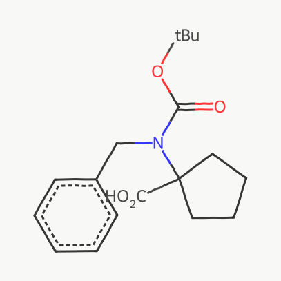 CC(C)(C)OC(=O)N(Cc1ccccc1)C1(C(=O)O)CCCC1